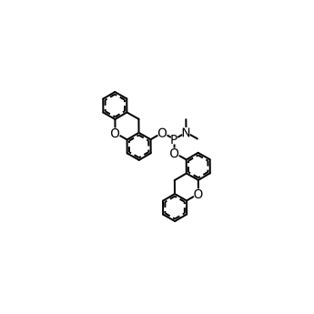 CN(C)P(Oc1cccc2c1Cc1ccccc1O2)Oc1cccc2c1Cc1ccccc1O2